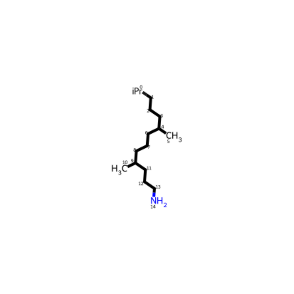 CC(C)CCCC(C)CCCC(C)CCCN